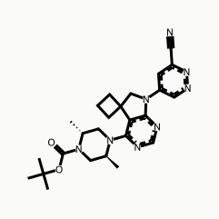 C[C@@H]1CN(c2ncnc3c2C2(CCC2)CN3c2cnnc(C#N)c2)[C@@H](C)CN1C(=O)OC(C)(C)C